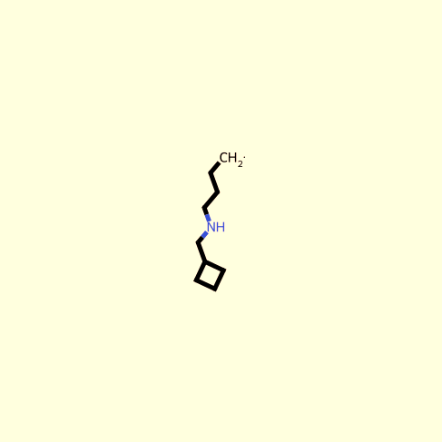 [CH2]CCCNCC1CCC1